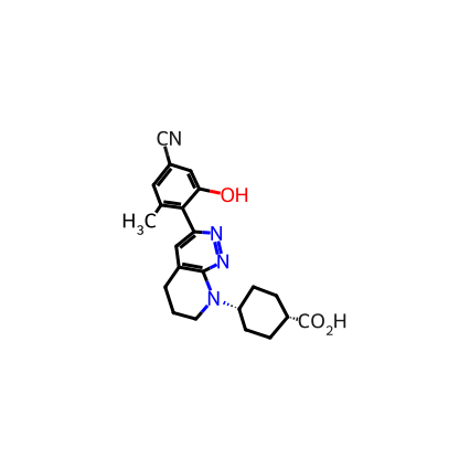 Cc1cc(C#N)cc(O)c1-c1cc2c(nn1)N([C@H]1CC[C@@H](C(=O)O)CC1)CCC2